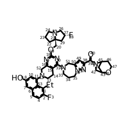 CCc1c(F)ccc2cc(O)cc(N3CCc4c(nc(OC[C@@]56CCCN5C[C@H](F)C6)nc4N4CCCn5nc(C(=O)N6CC7CC6CCO7)cc5C4)C3)c12